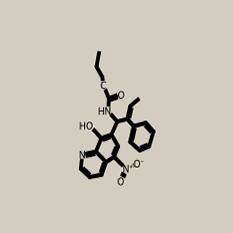 CC=C(c1ccccc1)C(NC(=O)CCCC)c1cc([N+](=O)[O-])c2cccnc2c1O